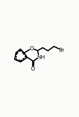 O=C1NC(CCCBr)Oc2ccccc21